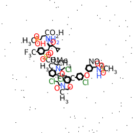 CC1COc2ccccc2N1C(=O)C(Cl)Cl.CCc1cccc(C)c1N(C(=O)CCl)C(C)COC.CP(=O)(O)CCC(N)C(=O)O.CS(=O)(=O)NC(=O)c1cc(Oc2ccc(C(F)(F)F)cc2Cl)ccc1[N+](=O)[O-].CS(=O)(=O)c1cc(C(F)(F)F)ccc1C(=O)c1cnoc1C1CC1